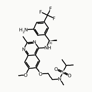 COc1cc2nc(C)nc(N[C@H](C)c3cc(N)cc(C(F)(F)F)c3)c2cc1OCCN(C)S(=O)(=O)C(C)C